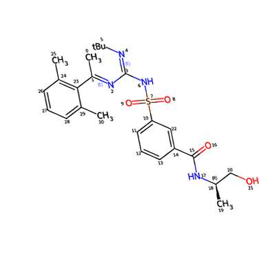 C/C(=N\C(=N/C(C)(C)C)NS(=O)(=O)c1cccc(C(=O)N[C@H](C)CO)c1)c1c(C)cccc1C